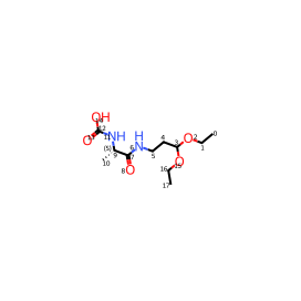 CCOC(CCNC(=O)[C@H](C)NC(=O)O)OCC